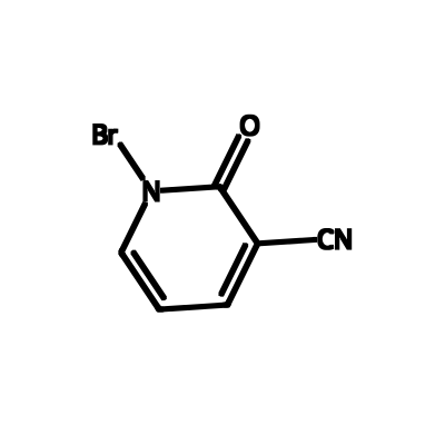 N#Cc1cccn(Br)c1=O